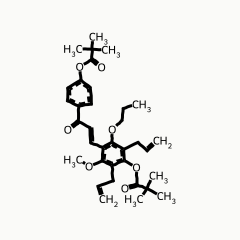 C=CCc1c(OC)c(C=CC(=O)c2ccc(OC(=O)C(C)(C)C)cc2)c(OCCC)c(CC=C)c1OC(=O)C(C)(C)C